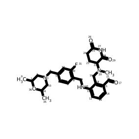 CC1CN(Cc2ccc(CNc3cccc(C=O)c3CN(C)C3CCC(=O)NC3=O)c(F)c2)CC(C)O1